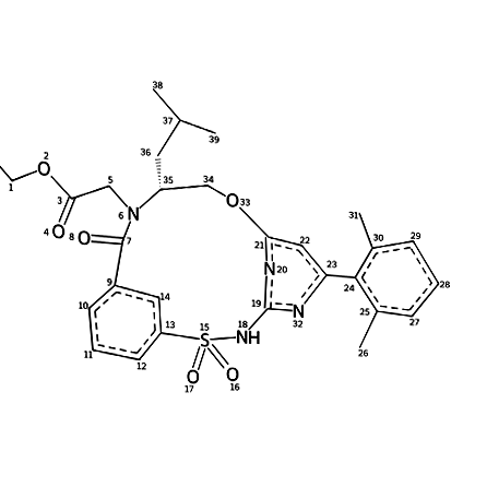 CCOC(=O)CN1C(=O)c2cccc(c2)S(=O)(=O)Nc2nc(cc(-c3c(C)cccc3C)n2)OC[C@H]1CC(C)C